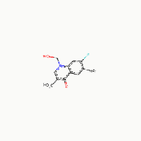 CCCc1cc2c(=O)c(C(=O)O)cn(CO)c2cc1F